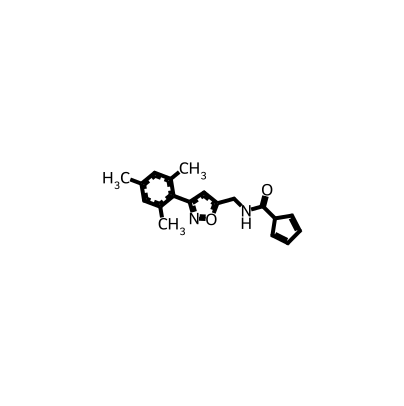 Cc1cc(C)c(-c2cc(CNC(=O)C3C=CC=C3)on2)c(C)c1